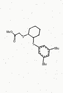 COC(=O)CSC1CCCCC1Sc1cc(C(C)(C)C)cc(C(C)(C)C)c1